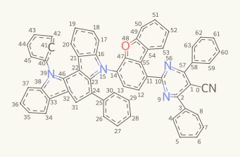 N#Cc1c(-c2ccccc2)nc(-c2ccc(-n3c4ccccc4c4c3c(-c3ccccc3)cc3c5ccccc5n(-c5ccccc5)c34)c3oc4ccccc4c23)nc1-c1ccccc1